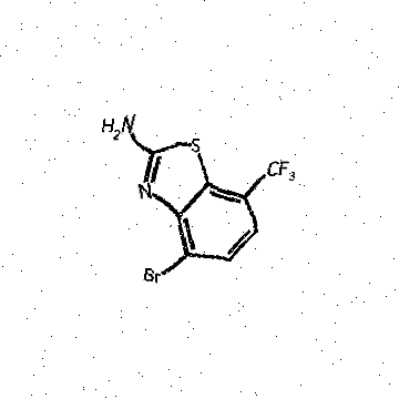 Nc1nc2c(Br)ccc(C(F)(F)F)c2s1